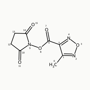 Cc1nonc1C(=O)ON1C(=O)CCC1=O